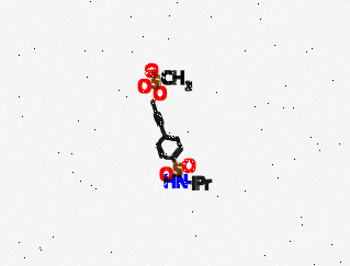 CC(C)NS(=O)(=O)c1ccc(C#CCOS(C)(=O)=O)cc1